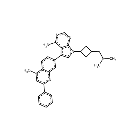 Cc1cc(-c2ccccc2)nc2cc(-c3cn(C4CC(CN(C)C)C4)c4ncnc(N)c34)ccc12